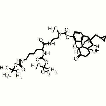 CN(CCNC(=O)C(CCCCNC(=O)OC(C)(C)C)NC(=O)OC(C)(C)C)C(=O)Oc1ccc2c3c1O[C@H]1C(=O)CC[C@@]4(O)[C@@H](C2)N(CC2CC2)CC[C@]314